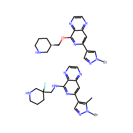 CCn1cc(-c2cc3nccnc3c(OC[C@@H]3CCCNC3)n2)cn1.Cc1c(-c2cc3nccnc3c(NCC3(F)CCCNC3)n2)cnn1C(C)C